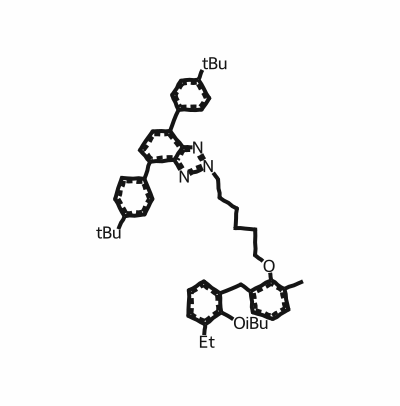 CCc1cccc(Cc2cccc(C)c2OCCCCCCn2nc3c(-c4ccc(C(C)(C)C)cc4)ccc(-c4ccc(C(C)(C)C)cc4)c3n2)c1OCC(C)C